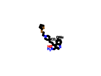 COc1ccc2ncc(CN)c([C@H](O)CCC3(C(=O)O)CCN(CCSc4cccs4)CC3)c2c1